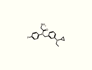 CCN(c1cccc(CN(C(=O)CN)c2ccc(F)cc2)c1)C1CC1